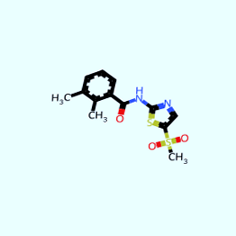 Cc1cccc(C(=O)Nc2ncc(S(C)(=O)=O)s2)c1C